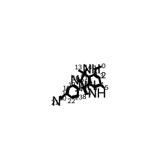 CCc1cc(C)c2[nH]ccc2c1C(C)(N)c1nc2cc(C#N)ccc2[nH]1